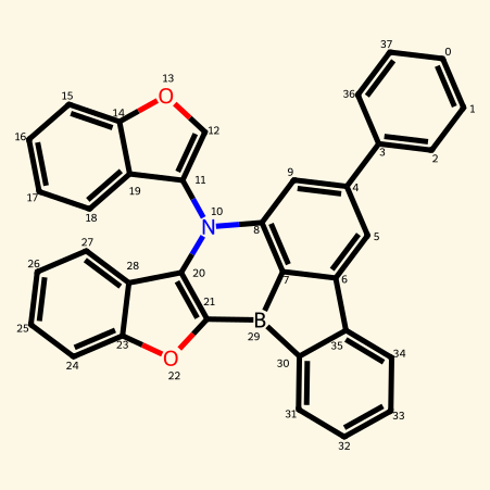 c1ccc(-c2cc3c4c(c2)N(c2coc5ccccc25)c2c(oc5ccccc25)B4c2ccccc2-3)cc1